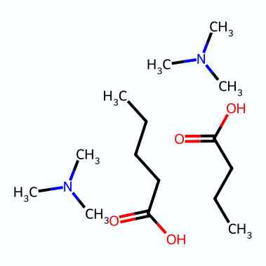 CCCC(=O)O.CCCCC(=O)O.CN(C)C.CN(C)C